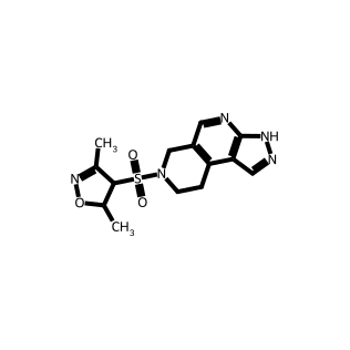 CC1=NOC(C)C1S(=O)(=O)N1CCc2c(cnc3[nH]ncc23)C1